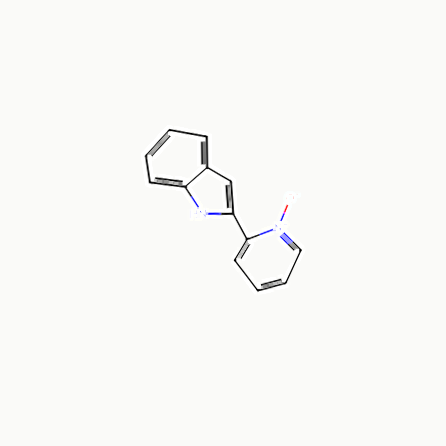 [O-][n+]1ccccc1-c1cc2ccccc2[nH]1